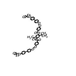 C=C(C)c1cc(OC(=O)c2ccc(OCOc3ccc(-c4ccc(OCC5(CC)COC5)cc4)cc3)cc2)c(C(=C)C)cc1OC(=O)c1ccc(OCOc2ccc(-c3ccc(OCC4(CC)COC4)cc3)cc2)cc1